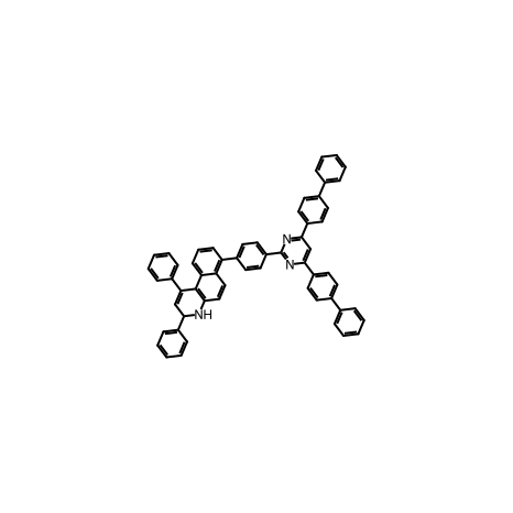 C1=C(c2ccccc2)c2c(ccc3c(-c4ccc(-c5nc(-c6ccc(-c7ccccc7)cc6)cc(-c6ccc(-c7ccccc7)cc6)n5)cc4)cccc23)NC1c1ccccc1